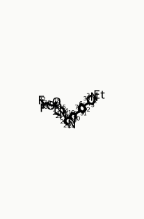 CCN1CCC(c2ccc(-c3cc4c(N5CCN(C(=O)OCC(F)F)CC5)ccnn4c3)cc2)CC1